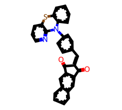 O=C1C(=Cc2ccc(N3c4ccccc4Sc4cccnc43)cc2)C(=O)c2cc3ccccc3cc21